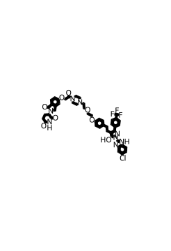 O=C1CCC(N2Cc3cc(OCC(=O)N4CCN(CCOCCOc5ccc(CCc6c(-c7ccc(C(F)(F)F)cc7)nn(-c7nc8cc(Cl)ccc8[nH]7)c6O)cc5)CC4)ccc3C2=O)C(=O)N1